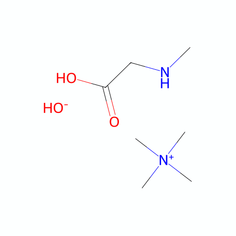 CNCC(=O)O.C[N+](C)(C)C.[OH-]